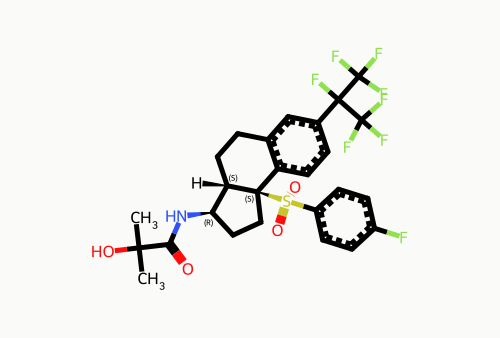 CC(C)(O)C(=O)N[C@@H]1CC[C@@]2(S(=O)(=O)c3ccc(F)cc3)c3ccc(C(F)(C(F)(F)F)C(F)(F)F)cc3CC[C@@H]12